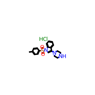 Cc1ccc(S(=O)(=O)n2cc(N3CCNCC3)c3ccccc32)cc1.Cl